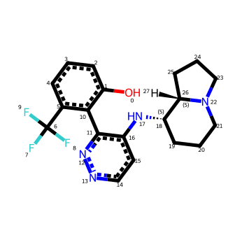 Oc1cccc(C(F)(F)F)c1-c1nnccc1N[C@H]1CCCN2CCC[C@@H]12